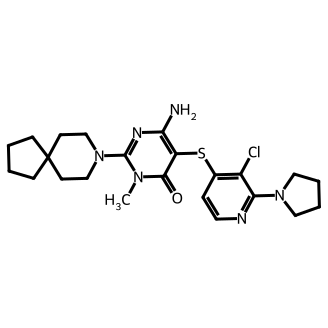 Cn1c(N2CCC3(CCCC3)CC2)nc(N)c(Sc2ccnc(N3CCCC3)c2Cl)c1=O